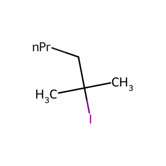 CCCCC(C)(C)I